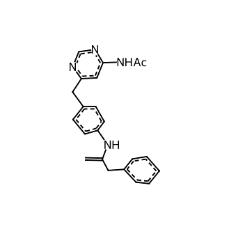 C=C(Cc1ccccc1)Nc1ccc(Cc2cc(NC(C)=O)ncn2)cc1